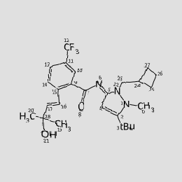 Cn1c(C(C)(C)C)c/c(=N\C(=O)c2cc(C(F)(F)F)ccc2/C=C/C(C)(C)O)n1CC1CCC1